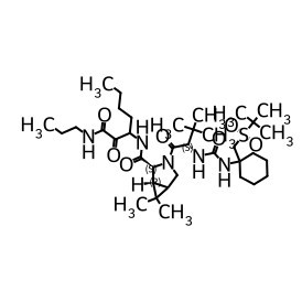 CCCCC(NC(=O)[C@@H]1[C@@H]2C(CN1C(=O)[C@@H](NC(=O)NC1(CS(=O)(=O)C(C)(C)C)CCCCC1)C(C)(C)C)C2(C)C)C(=O)C(=O)NCCC